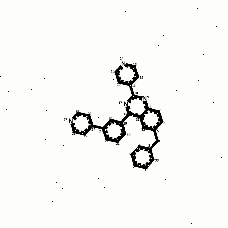 c1ccc(Cc2ccc3nc(-c4ccncc4)nc(-c4cccc(-c5ccncc5)c4)c3c2)cc1